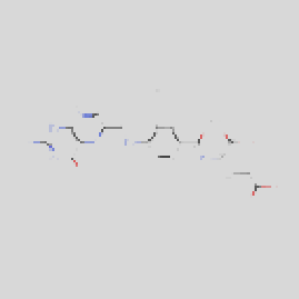 N.Nc1nc(=O)c2nc(CNc3ccc(C(=O)N[C@@H](CCC(=O)O)C(=O)O)cc3)cnc2[nH]1.O